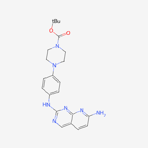 CC(C)(C)OC(=O)N1CCN(c2ccc(Nc3ncc4ccc(N)nc4n3)cc2)CC1